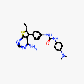 CCc1sc2ncnc(N)c2c1-c1ccc(NC(=O)Nc2ccc(N(C)C)cc2)cc1